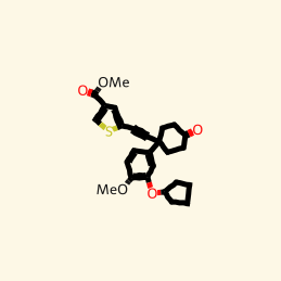 COC(=O)c1csc(C#CC2(c3ccc(OC)c(OC4CCCC4)c3)CCC(=O)CC2)c1